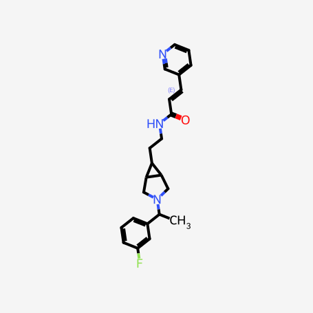 CC(c1cccc(F)c1)N1CC2C(CCNC(=O)/C=C/c3cccnc3)C2C1